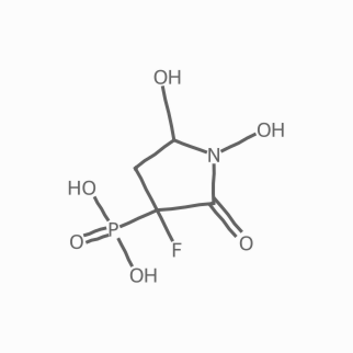 O=C1N(O)C(O)CC1(F)P(=O)(O)O